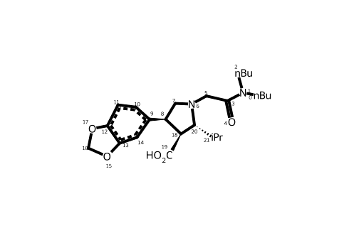 CCCCN(CCCC)C(=O)CN1C[C@H](c2ccc3c(c2)OCO3)[C@H](C(=O)O)[C@H]1C(C)C